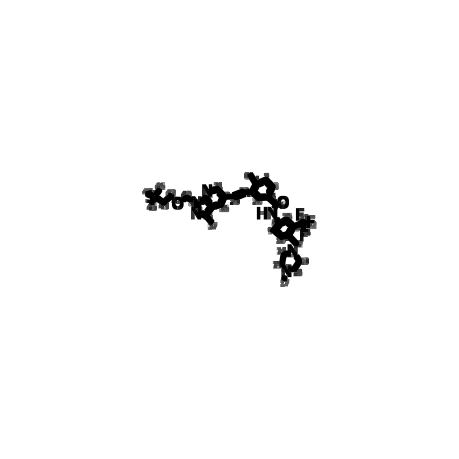 Cc1ccc(C(=O)Nc2ccc(CN3CCN(C)CC3)c(C(F)(F)F)c2)cc1C#Cc1cnc2c(c1)c(C)nn2COCC[Si](C)(C)C